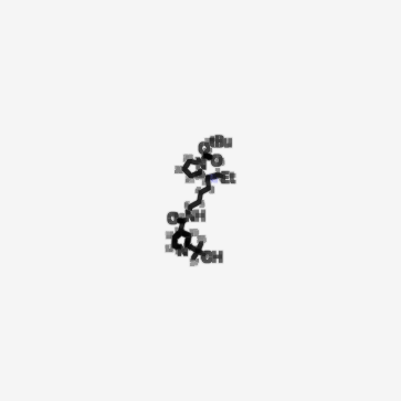 CC/C=C(\CCCCNC(=O)c1ccnc(C(C)(C)O)c1)[C@@H]1CCCN1C(=O)OC(C)(C)C